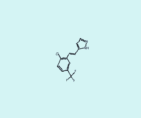 FC(F)(F)c1ccc(Cl)c(C=Cc2ccn[nH]2)c1